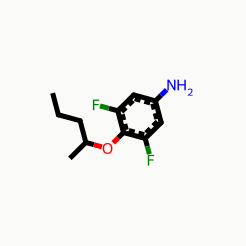 CCCC(C)Oc1c(F)cc(N)cc1F